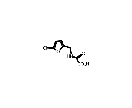 O=C(O)C(=O)NCc1ccc(Cl)o1